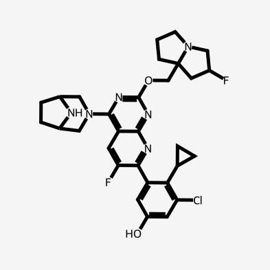 Oc1cc(Cl)c(C2CC2)c(-c2nc3nc(OCC45CCCN4CC(F)C5)nc(N4CC5CCC(C4)N5)c3cc2F)c1